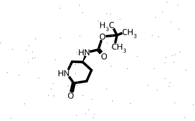 CC(C)(C)OC(=O)N[C@H]1CCC(=O)NC1